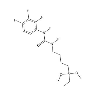 CC[Si](CCCCN(F)C(=O)N(F)c1ccc(F)c(F)c1F)(OC)OC